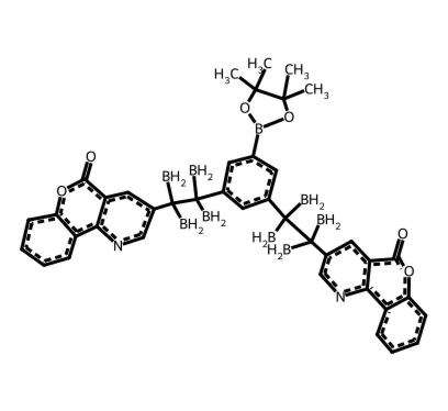 BC(B)(c1cc(B2OC(C)(C)C(C)(C)O2)cc(C(B)(B)C(B)(B)c2cnc3c(c2)c(=O)oc2ccccc23)c1)C(B)(B)c1cnc2c(c1)c(=O)oc1ccccc12